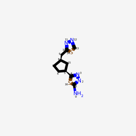 Nc1nnc([C@H]2CC[C@@H](Cc3nncs3)C2)s1